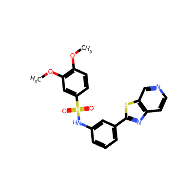 COc1ccc(S(=O)(=O)Nc2cccc(-c3nc4ccncc4s3)c2)cc1OC